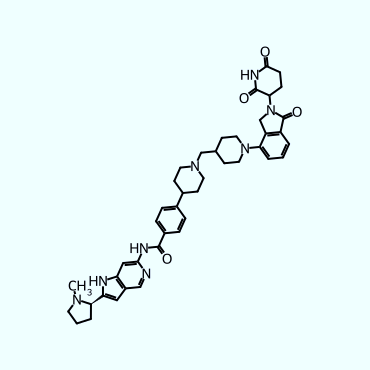 CN1CCC[C@@H]1c1cc2cnc(NC(=O)c3ccc(C4CCN(CC5CCN(c6cccc7c6CN(C6CCC(=O)NC6=O)C7=O)CC5)CC4)cc3)cc2[nH]1